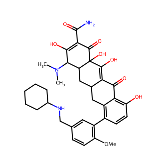 COc1ccc(CNC2CCCCC2)cc1-c1ccc(O)c2c1CC1CC3C(N(C)C)C(O)=C(C(N)=O)C(=O)C3(O)C(O)=C1C2=O